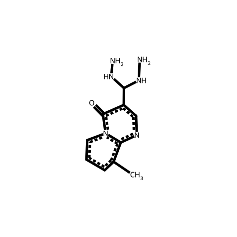 Cc1cccn2c(=O)c(C(NN)NN)cnc12